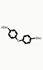 CCCCCCCCCCc1ccc(Oc2ccc(CCCCCCCCCC)cc2)cc1